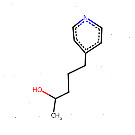 CC(O)CCCc1ccncc1